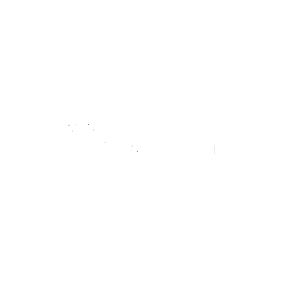 CN[C@H]1CCN(c2ccc(Cl)cc2C)C1